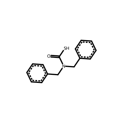 O=C(S)N(Cc1ccccc1)Cc1ccccc1